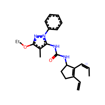 C=CC1=C(/C=C\C)C(NC(=O)Nc2c(C)c(OCC)nn2-c2ccccc2)CC1